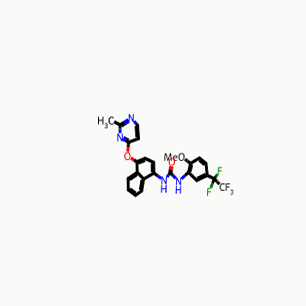 COc1ccc(C(F)(F)C(F)(F)F)cc1NC(=O)Nc1ccc(Oc2ccnc(C)n2)c2ccccc12